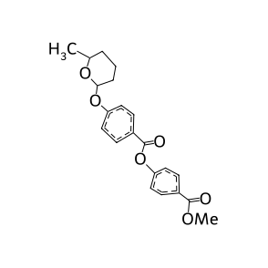 COC(=O)c1ccc(OC(=O)c2ccc(OC3CCCC(C)O3)cc2)cc1